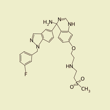 CS(=O)(=O)CCNCCOc1ccc2c(c1)NC=NC2(N)c1ccc2c(cnn2Cc2cccc(F)c2)c1